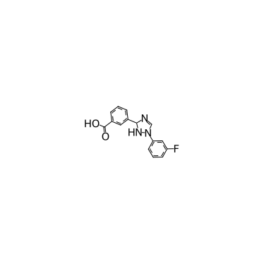 O=C(O)c1cccc(C2N=CN(c3cccc(F)c3)N2)c1